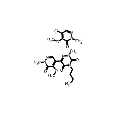 CCCCn1c(=O)c(-c2cnn(C)c(=O)c2OC)nn(C)c1=O.COc1c(Cl)cnn(C)c1=O